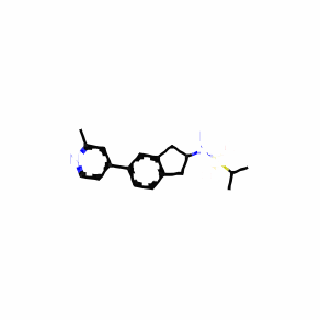 Cc1cc(-c2ccc3c(c2)CC(NS(=O)(=O)C(C)C)C3)ccn1